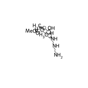 COC(=O)CC[C@@H](C)[C@H]1CCC2C3C(CC[C@@]21C)[C@@]1(C)CC[C@H](NCCCNCCCCN)C[C@@H]1C[C@H]3O